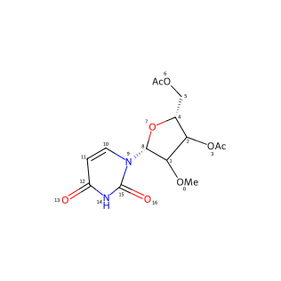 COC1C(OC(C)=O)[C@@H](COC(C)=O)O[C@H]1n1ccc(=O)[nH]c1=O